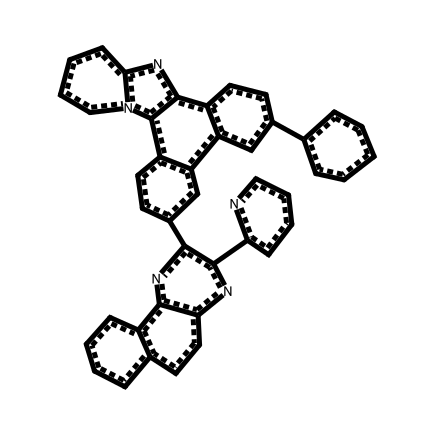 c1ccc(-c2ccc3c(c2)c2cc(-c4nc5c(ccc6ccccc65)nc4-c4ccccn4)ccc2c2c3nc3ccccn32)cc1